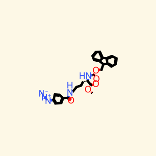 COC(=O)[C@H](CCCCNC(=O)c1ccc(N=[N+]=[N-])cc1)NC(=O)OCC1c2ccccc2-c2ccccc21